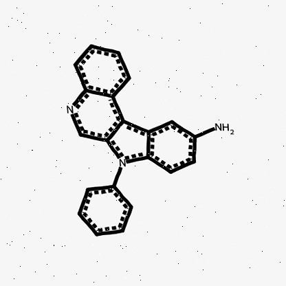 Nc1ccc2c(c1)c1c3ccccc3ncc1n2-c1ccccc1